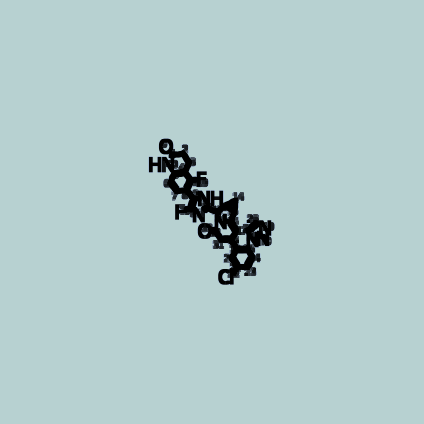 O=C1CCc2c(ccc(-c3[nH]c(C4C5CC5c5cc(-c6cc(Cl)ccc6-n6ccnn6)cc(=O)n54)nc3F)c2F)N1